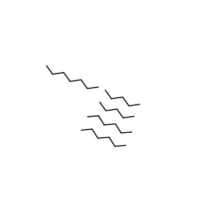 CCCCC.CCCCC.CCCCCC.CCCCCC.CCCCCCC